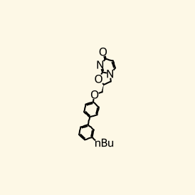 CCCCc1cccc(-c2ccc(OC[C@@H]3Cn4ccc(=O)nc4O3)cc2)c1